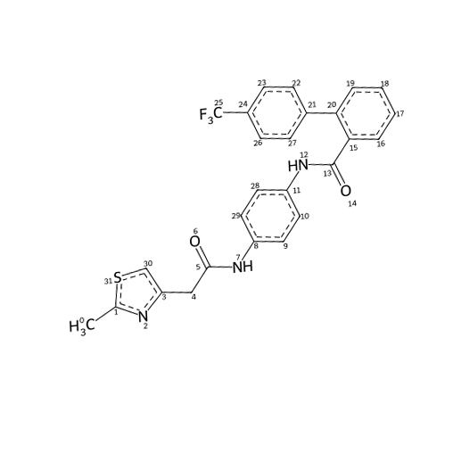 Cc1nc(CC(=O)Nc2ccc(NC(=O)c3ccccc3-c3ccc(C(F)(F)F)cc3)cc2)cs1